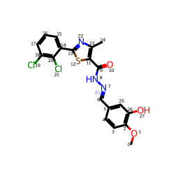 COc1ccc(/C=N/NC(=O)c2sc(-c3cccc(Cl)c3Cl)nc2C)cc1O